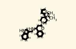 CN(C)C1(c2cccs2)CCN(C(=O)CC(NCc2c[nH]c3ccccc23)c2ccccc2)CC1